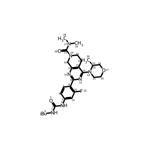 CCC(C)NC(=O)Nc1ccc(-c2nc3c(c(N4CCOC[C@@H]4C)n2)CCN(C(=O)N(C)C)C3)c(F)c1